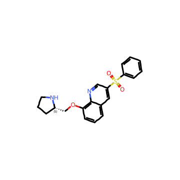 O=S(=O)(c1ccccc1)c1cnc2c(OC[C@@H]3CCCN3)cccc2c1